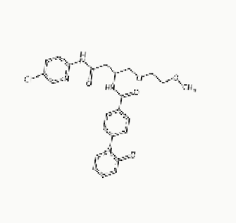 COCCOCC(CC(=O)Nc1ccc(Cl)cn1)NC(=O)c1ccc(-n2ccccc2=O)cc1